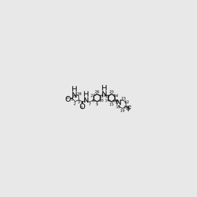 O=C1CC(C(=O)NCc2ccc(Nc3ccc(N4CCC(F)CC4)cc3)cc2)CN1